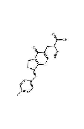 Cc1ccc(/C=C2\CCc3c2oc2ccc(C(=O)O)cc2c3=O)cc1